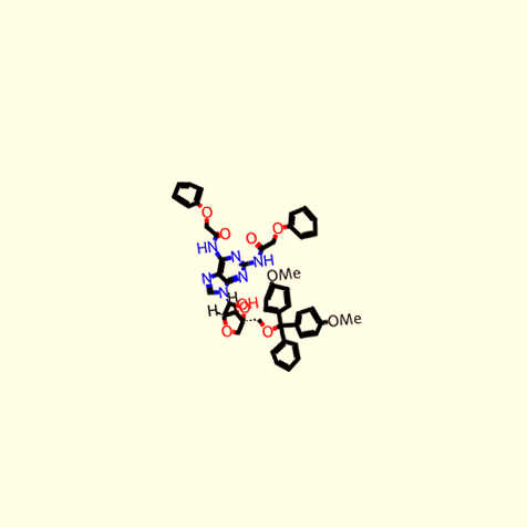 COc1ccc(C(OC[C@@]23CO[C@@H]([C@H](n4cnc5c(NC(=O)COc6ccccc6)nc(NC(=O)COc6ccccc6)nc54)O2)[C@@H]3O)(c2ccccc2)c2ccc(OC)cc2)cc1